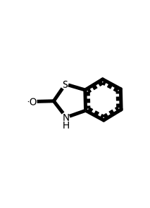 [O]C1Nc2ccccc2S1